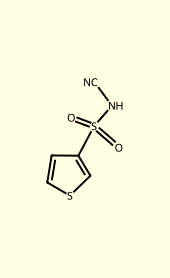 N#CNS(=O)(=O)c1ccsc1